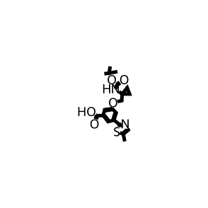 Cc1cnc(-c2cc(OCC3(NC(=O)OC(C)(C)C)CC3)cc(C(=O)O)c2)s1